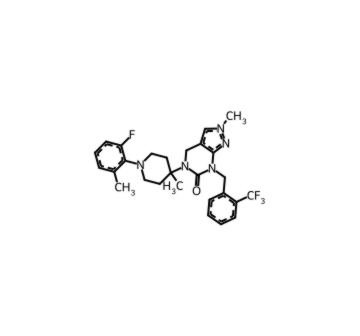 Cc1cccc(F)c1N1CCC(C)(N2Cc3cn(C)nc3N(Cc3ccccc3C(F)(F)F)C2=O)CC1